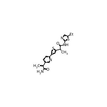 C=C(C(N)=O)c1ccc(-c2csc(C(C)C(=O)Nc3ncc(CC)s3)c2)nc1